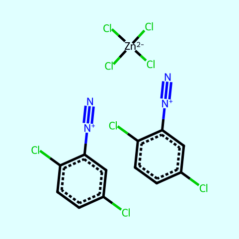 N#[N+]c1cc(Cl)ccc1Cl.N#[N+]c1cc(Cl)ccc1Cl.[Cl][Zn-2]([Cl])([Cl])[Cl]